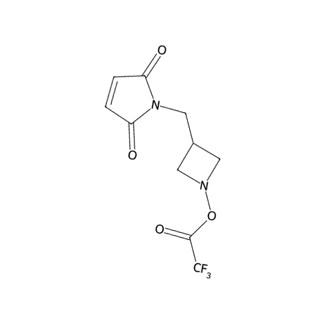 O=C1C=CC(=O)N1CC1CN(OC(=O)C(F)(F)F)C1